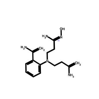 C=C(N)CCN(CC/C(N)=N/O)c1ccccc1C(=C)N